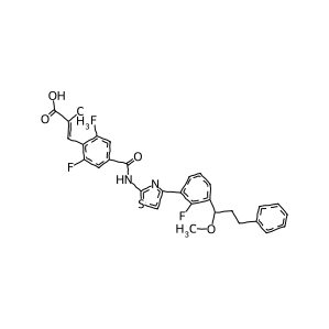 COC(CCc1ccccc1)c1cccc(-c2csc(NC(=O)c3cc(F)c(C=C(C)C(=O)O)c(F)c3)n2)c1F